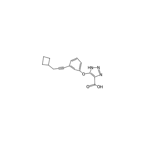 O=C(O)c1nn[nH]c1Oc1cccc(C#CCC2CCC2)c1